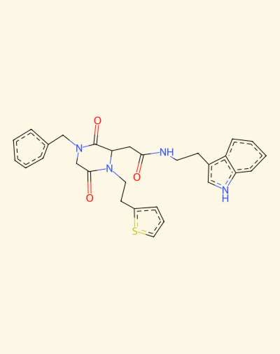 O=C(CC1C(=O)N(Cc2ccccc2)CC(=O)N1CCc1cccs1)NCCc1c[nH]c2ccccc12